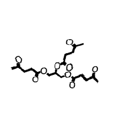 CC(=O)CCC(=O)OCC(COC(=O)CCC(C)=O)OC(=O)CCC(C)=O